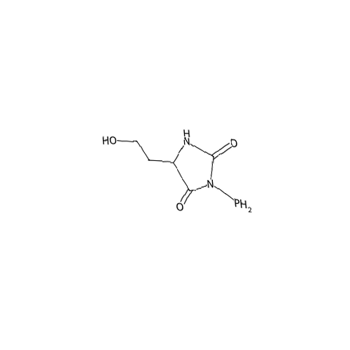 O=C1NC(CCO)C(=O)N1P